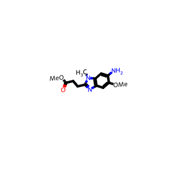 COC(=O)CCc1nc2cc(OC)c(N)cc2n1C